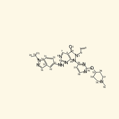 C=CCn1c(=O)c2cnc(Nc3ccc4c(cnn4C(C)C)c3)nc2n1-c1ccnc(OC2CCN(C)CC2)n1